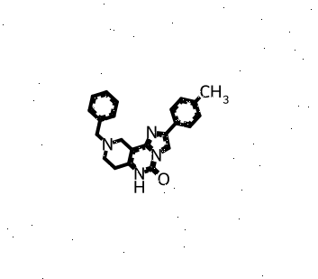 Cc1ccc(-c2cn3c(=O)[nH]c4c(c3n2)CN(Cc2ccccc2)CC4)cc1